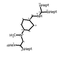 CCCCCCCC(CCCCCC)CN(C)[C@H]1CC[C@@H](CNC(CCCCCCC)CCCCCCC)CC1